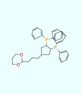 c1ccc(P(c2ccccc2)C2CC(CCCC3OCCCO3)CC2P(c2ccccc2)c2ccccc2)cc1